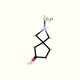 O=C1CCC2(C1)CN(C(=O)O)C2